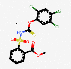 COC(=O)c1ccccc1S(=O)(=O)NC(=S)Oc1cc(Cl)c(Cl)cc1Cl